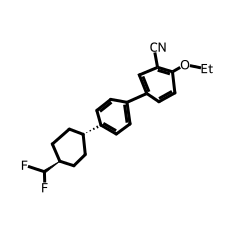 CCOc1ccc(-c2ccc([C@H]3CC[C@H](C(F)F)CC3)cc2)cc1C#N